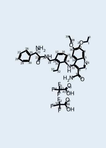 CCOc1cc2ncc(C(N)=O)c(Nc3cccc(CNC(=O)[C@@H](N)c4ccccc4)c3CC)c2cc1OCC.O=C(O)C(F)(F)F.O=C(O)C(F)(F)F